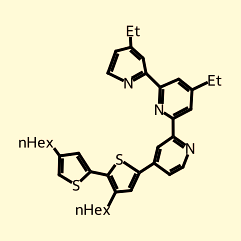 CCCCCCc1csc(-c2sc(-c3ccnc(-c4cc(CC)cc(-c5cc(CC)ccn5)n4)c3)cc2CCCCCC)c1